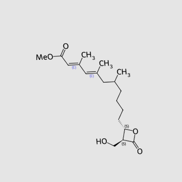 COC(=O)/C=C(C)/C=C(\C)CC(C)CCCC[C@@H]1OC(=O)[C@H]1CO